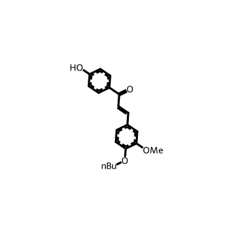 CCCCOc1ccc(/C=C/C(=O)c2ccc(O)cc2)cc1OC